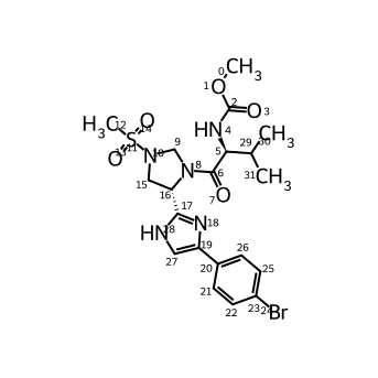 COC(=O)N[C@H](C(=O)N1CN(S(C)(=O)=O)C[C@H]1c1nc(-c2ccc(Br)cc2)c[nH]1)C(C)C